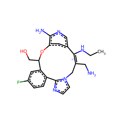 CCN/C1=C(\CN)Cn2ccnc2-c2ccc(F)cc2C(CO)Oc2cc1cnc2N